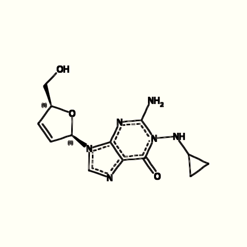 Nc1nc2c(ncn2[C@H]2C=C[C@@H](CO)O2)c(=O)n1NC1CC1